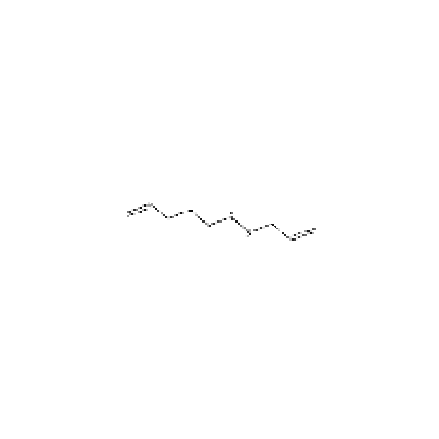 C=CCCCSSCC=C